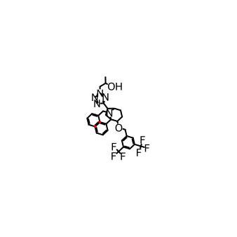 CC(O)Cn1nnc(C2CC3(c4ccccc4)C(OCc4cc(C(F)(F)F)cc(C(F)(F)F)c4)CCC2N3Cc2ccccc2)n1